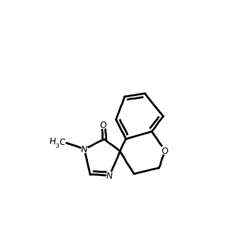 CN1C=NC2(CCOc3ccccc32)C1=O